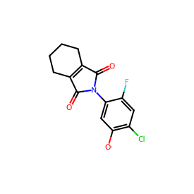 [O]c1cc(N2C(=O)C3=C(CCCC3)C2=O)c(F)cc1Cl